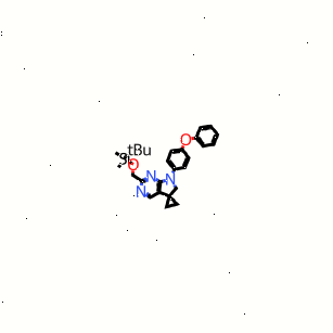 CC(C)(C)[Si](C)(C)OCc1ncc2c(n1)N(c1ccc(Oc3ccccc3)cc1)CC21CC1